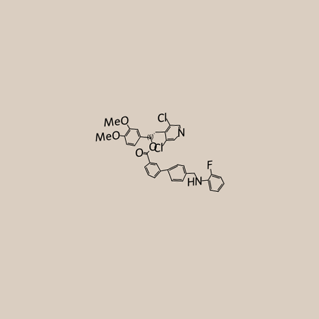 COc1ccc([C@H](Cc2c(Cl)cncc2Cl)OC(=O)c2cccc(-c3ccc(CNc4ccccc4F)cc3)c2)cc1OC